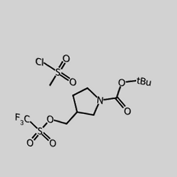 CC(C)(C)OC(=O)N1CCC(COS(=O)(=O)C(F)(F)F)C1.CS(=O)(=O)Cl